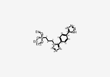 CCO[Si](CCCn1nnnc1-c1ccc(-c2nnn[nH]2)cc1)(OCC)OCC